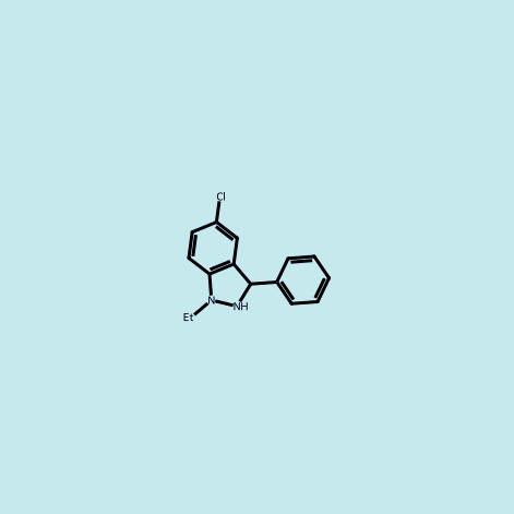 CCN1NC(c2ccccc2)c2cc(Cl)ccc21